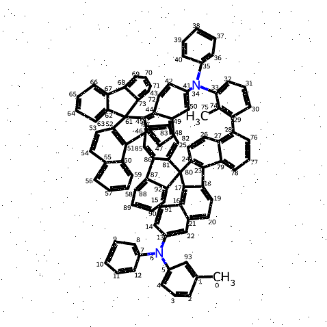 Cc1cccc(N(c2ccccc2)c2ccc3c4c(ccc3c2)-c2c(ccc3c(-c5cccc(N(c6ccccc6)c6ccc7c8c(ccc7c6)-c6c(ccc7ccccc67)C86c7ccccc7-c7ccccc76)c5C)cccc23)C42c3ccccc3-c3ccccc32)c1